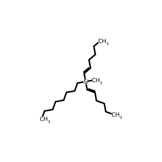 CCCC/C=C/[Si](C)(/C=C/CCCC)CCCCCCCC